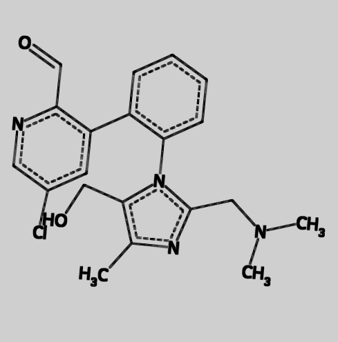 Cc1nc(CN(C)C)n(-c2ccccc2-c2cc(Cl)cnc2C=O)c1CO